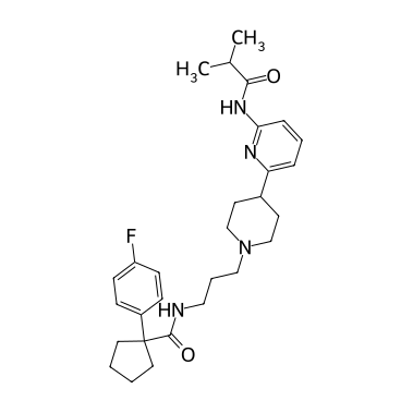 CC(C)C(=O)Nc1cccc(C2CCN(CCCNC(=O)C3(c4ccc(F)cc4)CCCC3)CC2)n1